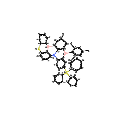 Cc1cc(C)c(B2c3cc(S(c4ccccc4)(c4ccccc4)c4ccccc4)ccc3N3c4cccc5c4B(c4ccccc4S5)c4cc(C)cc2c43)c(C)c1